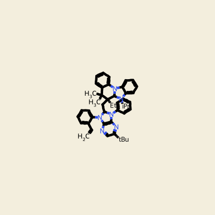 C=Cc1ccccc1N1c2ncc(C(C)(C)C)nc2N(c2ccccc2)C1CC1(CC)C2N(c3ccccc3N2C(C)C)c2ccccc2C1(C)C